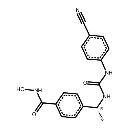 C[C@@H](NC(=O)Nc1ccc(C#N)cc1)c1ccc(C(=O)NO)cc1